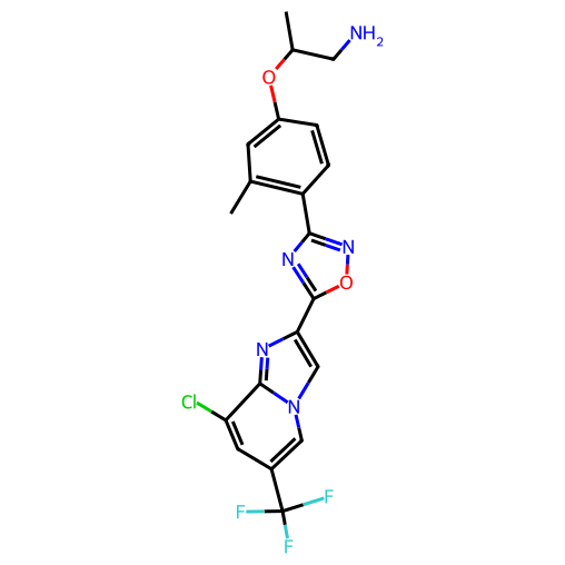 Cc1cc(OC(C)CN)ccc1-c1noc(-c2cn3cc(C(F)(F)F)cc(Cl)c3n2)n1